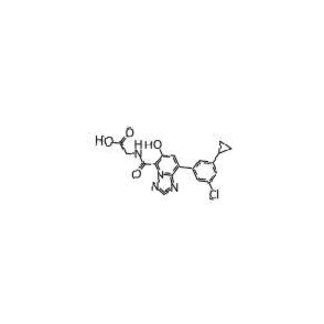 O=C(O)CNC(=O)c1c(O)cc(-c2cc(Cl)cc(C3CC3)c2)c2ncnn12